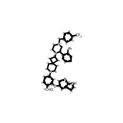 CC(C)c1ccccc1C1CN(Cc2ccc(C(F)(F)F)cc2)CCN1C1CC2(CCN(c3ccc(C=O)c(Oc4cnc5[nH]ccc5c4)c3)CC2)C1